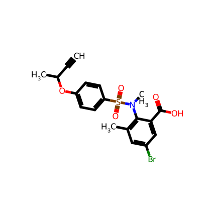 C#CC(C)Oc1ccc(S(=O)(=O)N(C)c2c(C)cc(Br)cc2C(=O)O)cc1